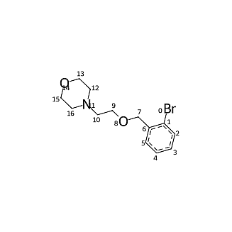 Brc1ccccc1COCCN1CCOCC1